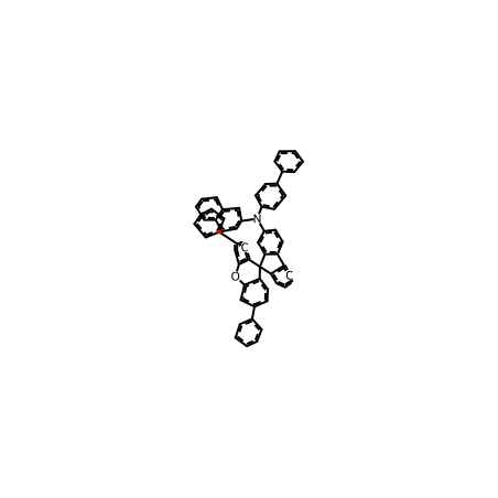 c1ccc(-c2ccc(N(c3ccc4c(c3)C3(c5ccc(-c6ccccc6)cc5Oc5cc(-c6ccccc6)ccc53)c3ccccc3-4)c3ccc4ccccc4c3)cc2)cc1